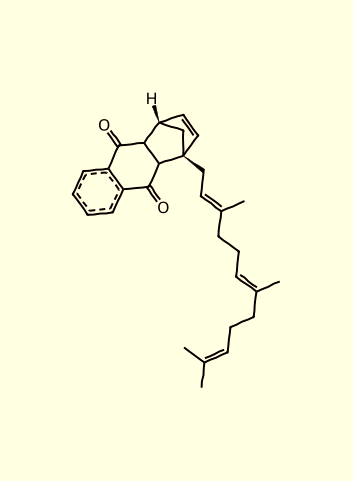 CC(C)=CCC/C(C)=C/CC/C(C)=C/C[C@]12C=C[C@H](C1)C1C(=O)c3ccccc3C(=O)C12